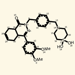 COc1ccc(C2=NN(Cc3ccc(CN4CCS(O)(O)CC4)cc3)C(=O)C3CC=CCC23)cc1OC